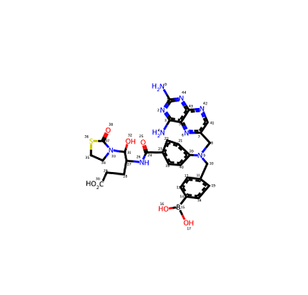 Nc1nc(N)c2nc(CN(Cc3ccc(B(O)O)cc3)c3ccc(C(=O)NC(CCC(=O)O)C(O)N4CCSC4=O)cc3)cnc2n1